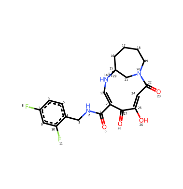 O=C(NCc1ccc(F)cc1F)/C1=C/N[C@@H]2CCCCN(C2)C(=O)/C=C(\O)C1=O